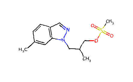 Cc1ccc2cnn(CC(C)COS(C)(=O)=O)c2c1